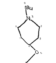 CC(C)(C)N1CCC(OI)CC1